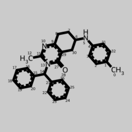 Cc1ccc(NC2CCc3nc(C)n(C(c4ccccc4)c4ccccc4)c(=O)c3C2)cc1